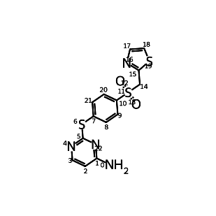 Nc1ccnc(Sc2ccc(S(=O)(=O)Cc3nccs3)cc2)n1